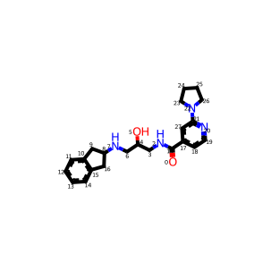 O=C(NCC(O)CNC1Cc2ccccc2C1)c1ccnc(N2CCCC2)c1